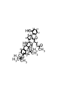 CC(=O)SCCC(=O)N1[C@@H](c2ccccc2O)SC[C@H]1C(=O)NC(Cc1ccc(OC(C)(C)C)cc1)C(=O)OC(C)(C)C